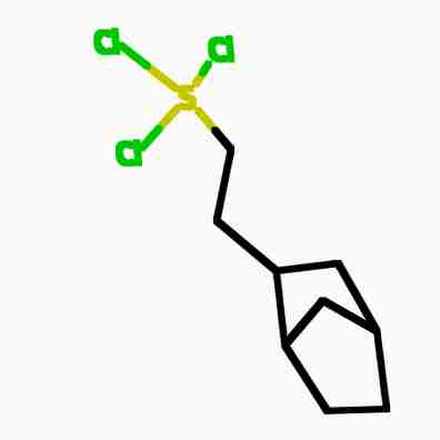 ClS(Cl)(Cl)CCC1CC2CCC1C2